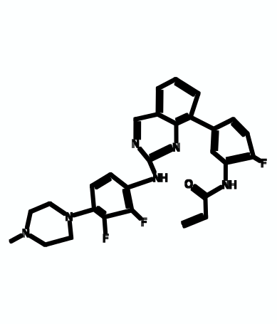 C=CC(=O)Nc1cc(-c2cccc3cnc(Nc4ccc(N5CCN(C)CC5)c(F)c4F)nc23)ccc1F